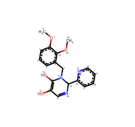 COc1cccc(CN2C(O)=C(O)C=NC2c2ccccn2)c1OC